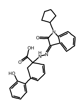 O=C1/C(=N\NC2(C(=O)O)C=CC=C(c3ccccc3O)C2)c2ccccc2N1C1CCCC1